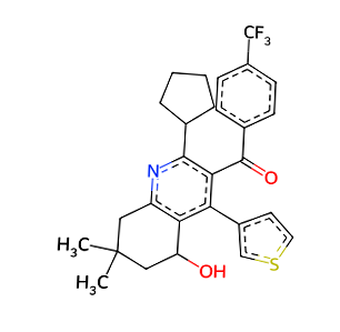 CC1(C)Cc2nc(C3CCCC3)c(C(=O)c3ccc(C(F)(F)F)cc3)c(-c3ccsc3)c2C(O)C1